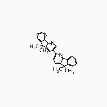 CC1(C)c2ccccc2-c2nc(-c3cnc4c(c3)C(C)(C)c3cccnc3-4)ccc21